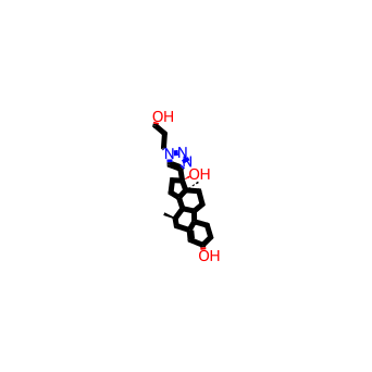 C[C@@H]1CC2=CC(O)CCC2C2CC[C@@]3(C)C(CC[C@@]3(O)c3cn(CCCO)nn3)C21